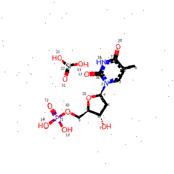 Cc1cn([C@H]2C[C@H](O)[C@@H](COP(=O)(O)O)O2)c(=O)[nH]c1=O.O=[Si](O)O